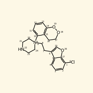 Clc1cccc2c(CC[N+]3(c4cccc5c4CCOO5)CCNCC3)coc12